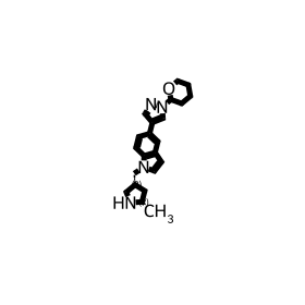 C[C@@H]1C[C@@H](Cn2ccc3cc(-c4cnn(C5CCCCO5)c4)ccc32)CN1